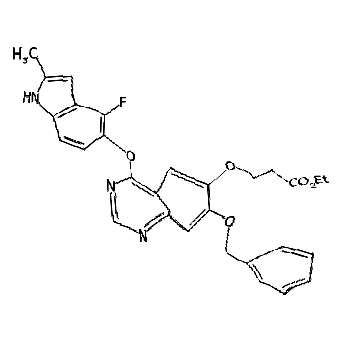 CCOC(=O)CCOc1cc2c(Oc3ccc4[nH]c(C)cc4c3F)ncnc2cc1OCc1ccccc1